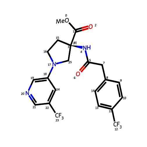 COC(=O)[C@@]1(NC(=O)Cc2ccc(C(F)(F)F)cc2)CCN(c2cncc(C(F)(F)F)c2)C1